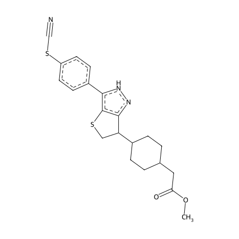 COC(=O)CC1CCC(C2CSc3c2n[nH]c3-c2ccc(SC#N)cc2)CC1